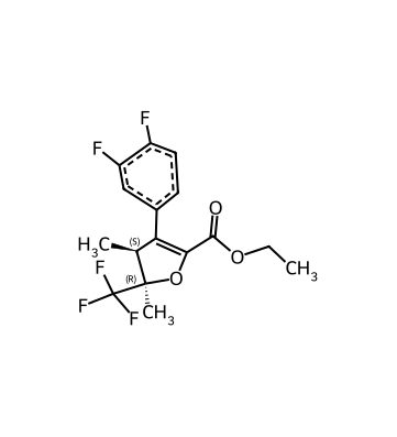 CCOC(=O)C1=C(c2ccc(F)c(F)c2)[C@H](C)[C@](C)(C(F)(F)F)O1